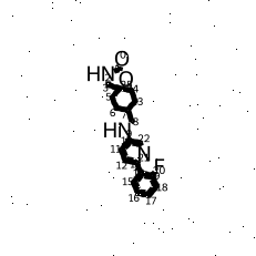 O=C1NCC2(CCC(CNc3ccc(-c4ccccc4F)nc3)CC2)O1